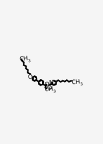 CCCCCCCCCOc1ccc(-c2ccc(C(CC)OC(=O)c3ccc(CCCCCCCC)cn3)cc2)cc1